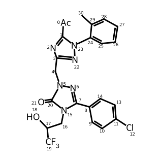 CC(=O)c1nc(Cn2nc(-c3ccc(Cl)cc3)n(CC(O)C(F)(F)F)c2=O)nn1-c1ccccc1C